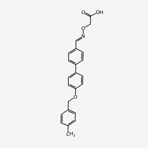 Cc1ccc(COc2ccc(-c3ccc(/C=N/OCC(=O)O)cc3)cc2)cc1